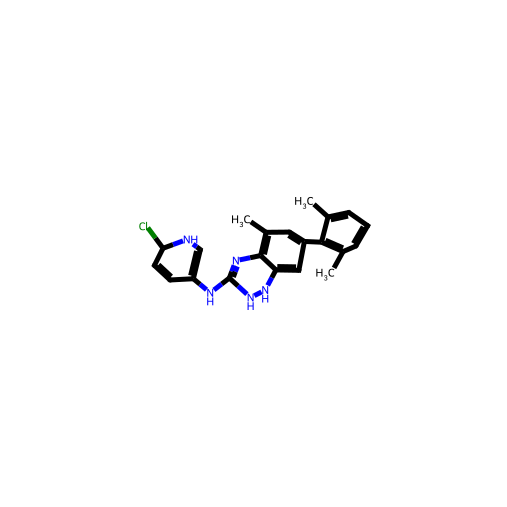 Cc1cc(-c2c(C)cccc2C)cc2c1N=C(NC1=CNC(Cl)C=C1)NN2